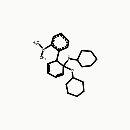 CN(C)c1ccccc1C1C=CC=CC1(PC1CCCCC1)PC1CCCCC1